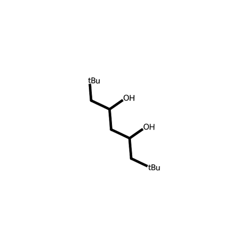 CC(C)(C)CC(O)CC(O)CC(C)(C)C